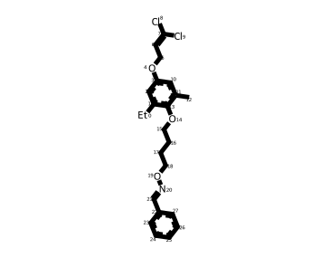 CCc1cc(OCC=C(Cl)Cl)cc(C)c1OCCCCON=Cc1ccccc1